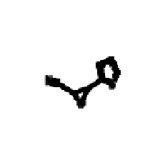 N#CC1OC1c1cccs1